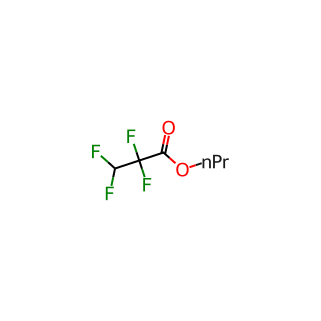 CCCOC(=O)C(F)(F)C(F)F